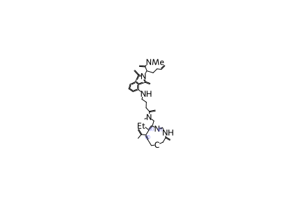 C=CCCC(C(=C)NC)n1c(=C)c2cccc(NCCCC(=C)N(C)CC3=C(CC)/C(C(=C)C)=C\CCCC(=C)N\C=N\3)c2c1=C